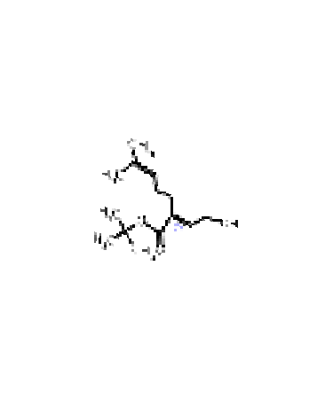 CC(C)=CCC/C(=C\CO)C(=O)OC(C)(C)C